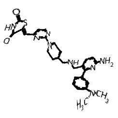 CN(C)c1cccc(-c2nc(N)ccc2CNCC2CCN(c3nccc(/C=C4\SC(=O)NC4=O)n3)CC2)c1